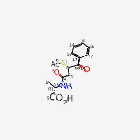 CC(=O)SC(CC(=O)N[C@@H](C)C(=O)O)C(=O)c1ccccc1